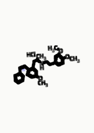 COc1ccc(/C=C\c2ccccc2)c(CC(C)NCCc2ccc(OC)c(OC)c2)c1.Cl